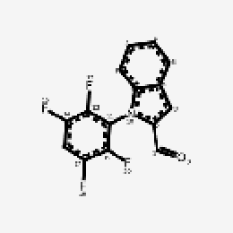 O=Cc1cc2ccccc2n1-c1c(F)c(F)cc(F)c1F